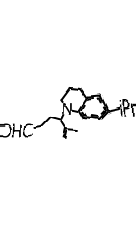 C=C(C)C(CCC=O)N1CCCc2cc(C(C)C)ccc21